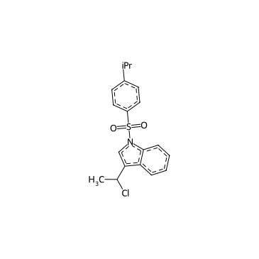 CC(C)c1ccc(S(=O)(=O)n2cc(C(C)Cl)c3ccccc32)cc1